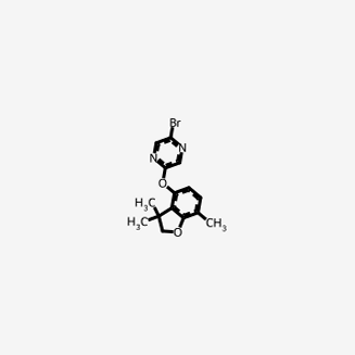 Cc1ccc(Oc2cnc(Br)cn2)c2c1OCC2(C)C